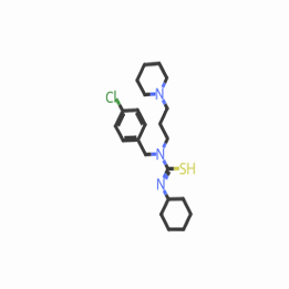 SC(=NC1CCCCC1)N(CCCN1CCCCC1)Cc1ccc(Cl)cc1